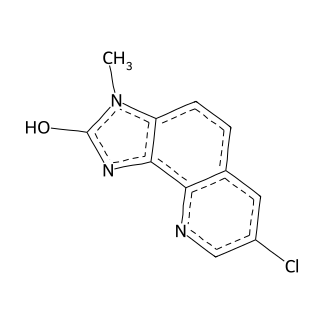 Cn1c(O)nc2c3ncc(Cl)cc3ccc21